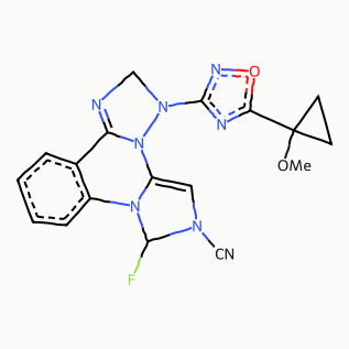 COC1(c2nc(N3CN=C4c5ccccc5N5C(=CN(C#N)C5F)N43)no2)CC1